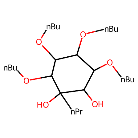 CCCCOC1C(OCCCC)C(O)C(O)(CCC)C(OCCCC)C1OCCCC